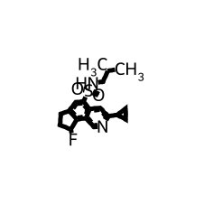 CC(C)CNS(=O)(=O)c1cc2c(c3cnc(C4CC4)cc13)C(F)CC2